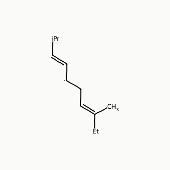 CCC(C)=CC[CH]C=CC(C)C